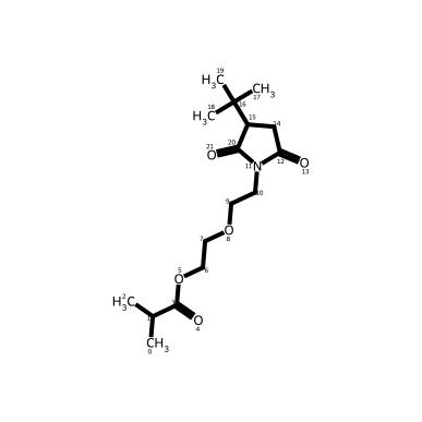 CC(C)C(=O)OCCOCCN1C(=O)CC(C(C)(C)C)C1=O